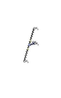 CCCCCCCCCCCCSCCCN(CCCSCCCCCCCCCCCC)CCCN(C)C